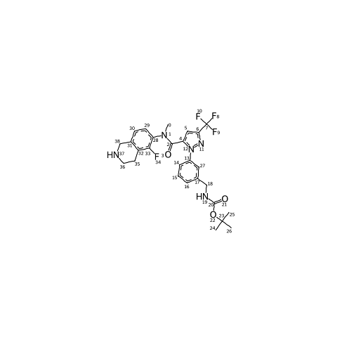 CN(C(=O)c1cc(C(F)(F)F)nn1-c1cccc(CNC(=O)OC(C)(C)C)c1)c1ccc2c(c1F)CCNC2